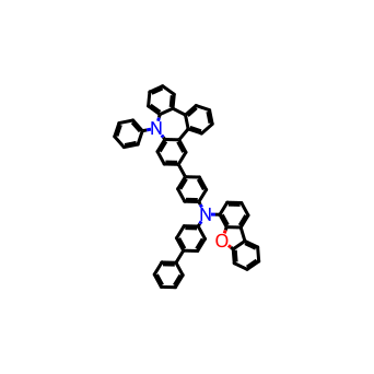 c1ccc(-c2ccc(N(c3ccc(-c4ccc5c(c4)-c4ccccc4-c4ccccc4N5c4ccccc4)cc3)c3cccc4c3oc3ccccc34)cc2)cc1